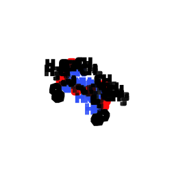 CN[C@@H](C)C(=O)N[C@H](C(=O)N1C[C@@H](NC(=O)CCC(=O)N[C@H]2C[C@@H](C(=O)NC3CCCc4ccccc43)N(C(=O)[C@@H](NC(=O)[C@H](C)NC)C(C)(C)C)C2)C[C@H]1C(=O)NC1CCCc2ccccc21)C(C)(C)C